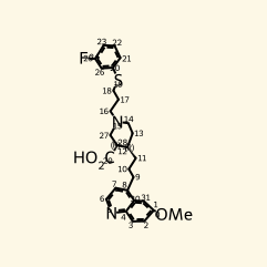 COc1ccc2nccc(CCC[C@@H]3CCN(CCCSc4cccc(F)c4)C[C@@H]3C(=O)O)c2c1